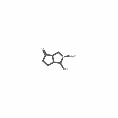 CC(C)(C)C1C2CCC(=O)C2CN1C(=O)O